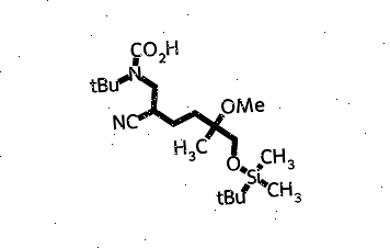 COC(C)(CCC(C#N)CN(C(=O)O)C(C)(C)C)CO[Si](C)(C)C(C)(C)C